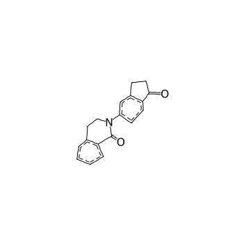 O=C1CCc2cc(N3CCc4ccccc4C3=O)ccc21